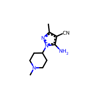 Cc1nn(C2CCN(C)CC2)c(N)c1C#N